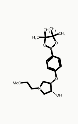 COCCN1C[C@@H](O)[C@H](Oc2ccc(B3OC(C)(C)C(C)(C)O3)cc2)C1